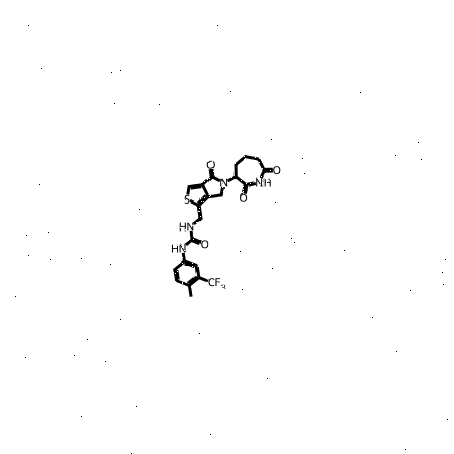 Cc1ccc(NC(=O)NCc2scc3c2CN(C2CCCC(=O)NC2=O)C3=O)cc1C(F)(F)F